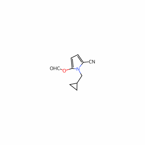 N#Cc1ccc(OC=O)n1CC1CC1